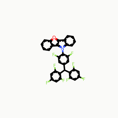 Fc1cc(F)c(C(c2cc(F)c(-n3c4ccccc4c4oc5ccccc5c43)c(F)c2)c2c(F)cc(F)cc2F)c(F)c1